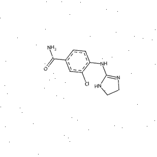 NC(=O)c1ccc(NC2=NCCN2)c(Cl)c1